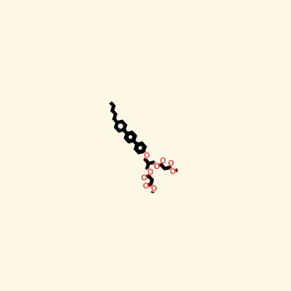 CCCCCC1CCC(c2ccc(-c3ccc(OCC(COC(=O)CC(=O)OC)COC(=O)CC(=O)OC)cc3)cc2)CC1